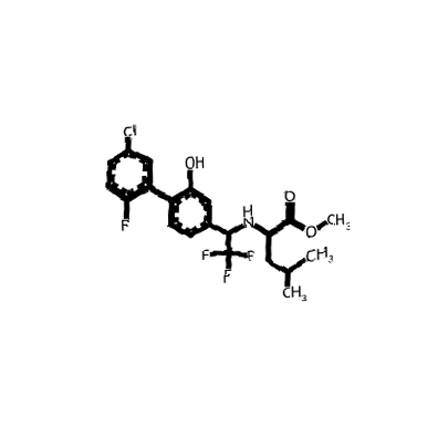 COC(=O)C(CC(C)C)NC(c1ccc(-c2cc(Cl)ccc2F)c(O)c1)C(F)(F)F